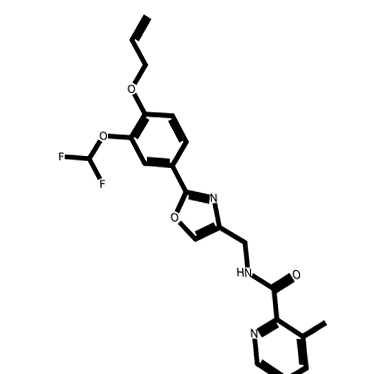 C=CCOc1ccc(-c2nc(CNC(=O)c3ncccc3C)co2)cc1OC(F)F